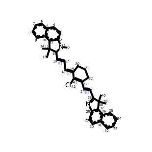 CN1c2ccc3ccccc3c2C(C)(C)C1/C=C/C=C1\CCCC(/C=C/C2=Nc3ccc4ccccc4c3C2(C)C)=C1Cl